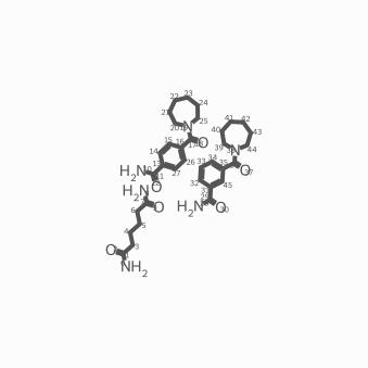 NC(=O)CCCCC(N)=O.NC(=O)c1ccc(C(=O)N2CCCCCC2)cc1.NC(=O)c1cccc(C(=O)N2CCCCCC2)c1